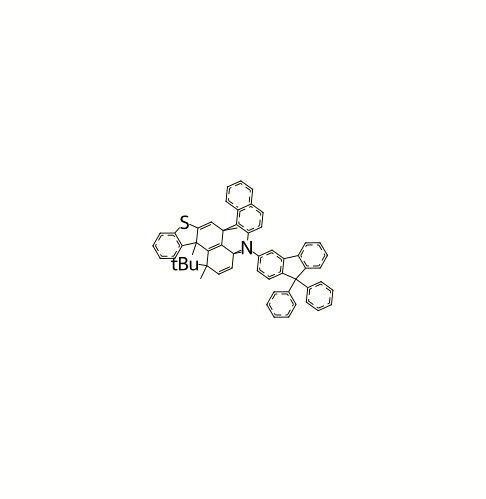 CC12C=C3Sc4ccccc4C3(C)C3=C1C(C)(C=CC3(C)C(C)(C)C)N(c1ccc3c(c1)-c1ccccc1C3(c1ccccc1)c1ccccc1)c1ccc3ccccc3c12